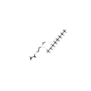 C=C(C)C(=O)OCCN(CC)S(=O)(=O)C(F)(F)C(F)(F)C(F)(F)C(F)(F)C(F)(F)C(F)(F)C(F)(F)C(F)(F)F